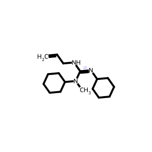 C=CCN/C(=N/C1CCCCC1)N(C)C1CCCCC1